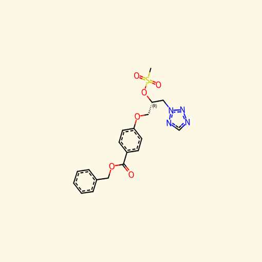 CS(=O)(=O)O[C@@H](COc1ccc(C(=O)OCc2ccccc2)cc1)Cn1ncnn1